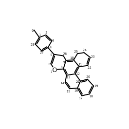 Cc1ccc(C2=COc3c(c4c(c5c3ccc3ccccc35)C=CCC4)C2)cc1